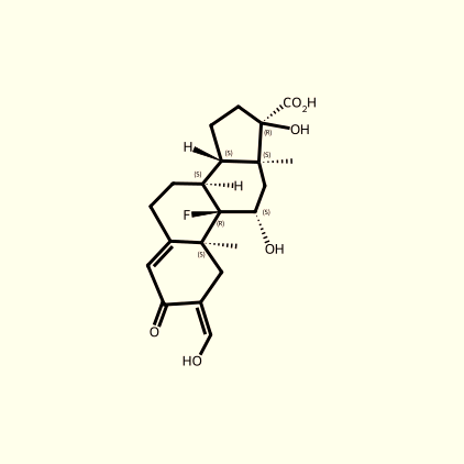 C[C@]12CC(=CO)C(=O)C=C1CC[C@H]1[C@@H]3CC[C@](O)(C(=O)O)[C@@]3(C)C[C@H](O)[C@@]12F